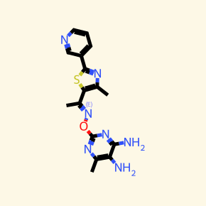 C/C(=N\Oc1nc(C)c(N)c(N)n1)c1sc(-c2cccnc2)nc1C